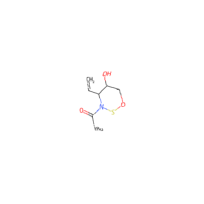 C=CC1C(O)COSN1C(=O)C(C)(C)C